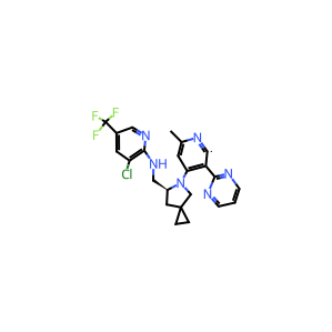 Cc1cc(N2CC3(CC3)C[C@H]2CNc2ncc(C(F)(F)F)cc2Cl)c(-c2ncccn2)[c]n1